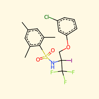 Cc1cc(C)c(S(=O)(=O)NC(I)(COc2cccc(Cl)c2)C(F)(F)F)c(C)c1